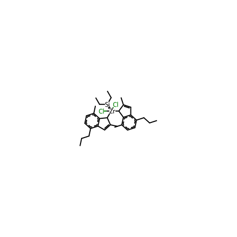 CCCc1ccc(C)c2c1C=C(C)[CH]2[Zr]([Cl])([Cl])([CH]1C(C)=Cc2c(CCC)ccc(C)c21)=[Si](CC)CC